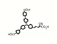 CCCCCCCCc1ccc(-c2ccc(N(c3ccc(/C=C/C=C(\C#N)C(=O)O)cc3)c3ccc(-c4ccc(CCCCCCCC)cc4)cc3)cc2)cc1